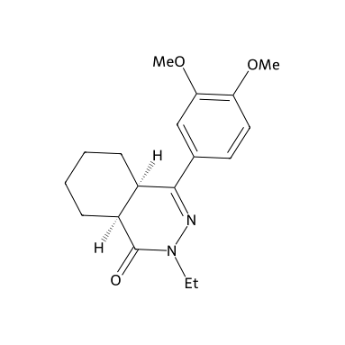 CCN1N=C(c2ccc(OC)c(OC)c2)[C@@H]2CCCC[C@@H]2C1=O